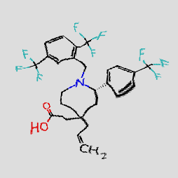 C=CCC1(CC(=O)O)CCN(Cc2cc(C(F)(F)F)ccc2C(F)(F)F)[C@H](c2ccc(C(F)(F)F)cc2)C1